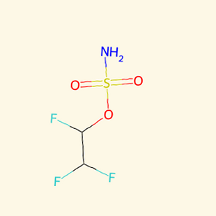 NS(=O)(=O)OC(F)C(F)F